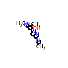 Cc1c(O)c(-c2ccc3cc(N4CC[C@H](C)C4)cnc3n2)cc2cn(C)nc12